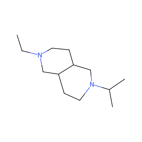 CCN1CCC2CN(C(C)C)CCC2C1